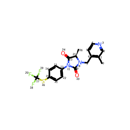 Cc1cnccc1CN1C(=O)N(c2ccc(SC(F)(F)F)cc2)C(=O)[C@H]1C